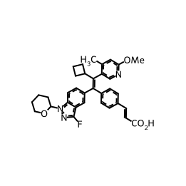 COc1cc(C)c(/C(=C(\c2ccc(/C=C/C(=O)O)cc2)c2ccc3c(c2)c(F)nn3C2CCCCO2)C2CCC2)cn1